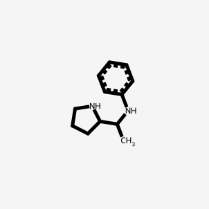 CC(Nc1ccccc1)C1CCCN1